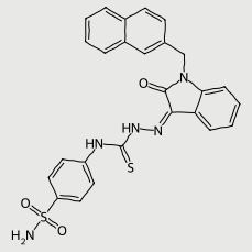 NS(=O)(=O)c1ccc(NC(=S)NN=C2C(=O)N(Cc3ccc4ccccc4c3)c3ccccc32)cc1